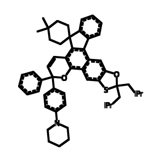 CC(C)CC1(CC(C)C)Oc2cc3c4c(c5c(c3cc2S1)OC(c1ccccc1)(c1ccc(N2CCCCC2)cc1)C=C5)C1(CCC(C)(C)CC1)c1ccccc1-4